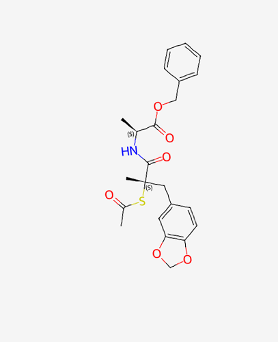 CC(=O)S[C@@](C)(Cc1ccc2c(c1)OCO2)C(=O)N[C@@H](C)C(=O)OCc1ccccc1